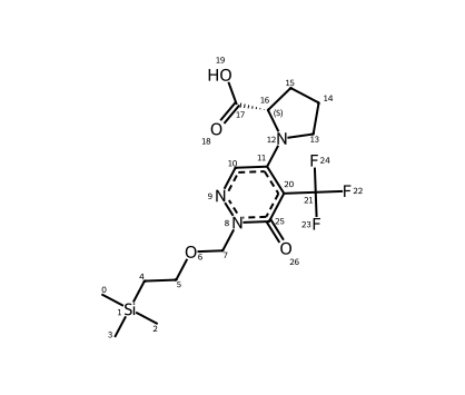 C[Si](C)(C)CCOCn1ncc(N2CCC[C@H]2C(=O)O)c(C(F)(F)F)c1=O